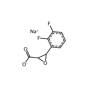 O=C([O-])C1OC1c1cccc(F)c1F.[Na+]